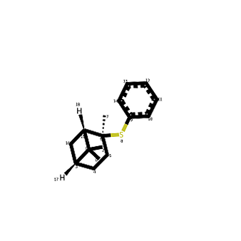 CC1(C)[C@@H]2CC[C@](C)(Sc3ccccc3)[C@H]1C2